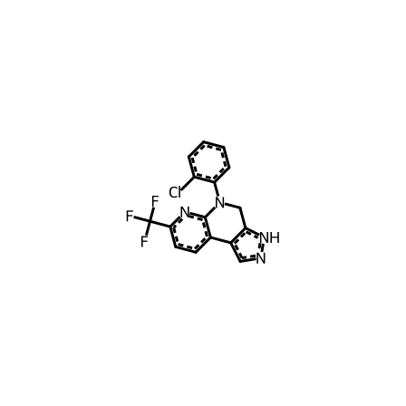 FC(F)(F)c1ccc2c(n1)N(c1ccccc1Cl)Cc1[nH]ncc1-2